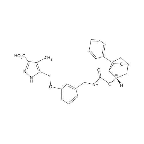 Cc1c(C(=O)O)n[nH]c1COc1cccc(CNC(=O)O[C@H]2CN3CCC2C(c2ccccc2)C3)c1